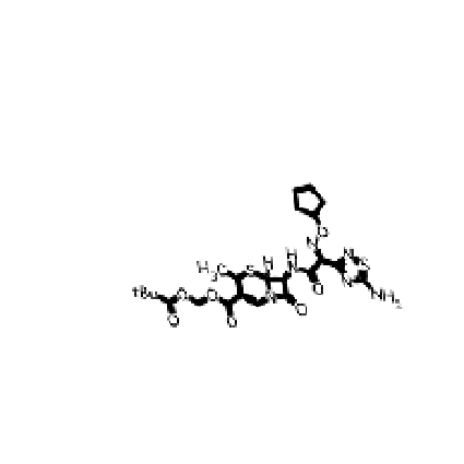 CC1S[C@@H]2C(NC(=O)C(=NOC3CCCC3)c3nsc(N)n3)C(=O)N2C=C1C(=O)OCOC(=O)C(C)(C)C